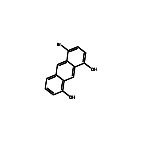 Oc1cccc2cc3c(Br)ccc(O)c3cc12